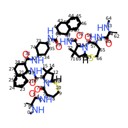 CN[C@@H](C)C(=O)N[C@H]1CCS[C@H]2CC(C)(C)[C@@H](C(=O)N[C@H]3c4ccccc4CC[C@H]3C(=O)NC3CCC(NC(=O)[C@@H]4CCc5ccccc5[C@@H]4NC(=O)[C@H]4N5C(=O)[C@@H](NC(=O)[C@H](C)NC)CCS[C@H]5CC4(C)C)CC3)N2C1=O